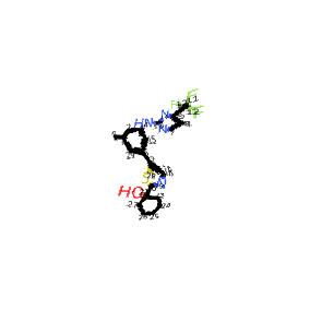 Cc1cc(Nc2nccc(C(F)(F)F)n2)cc(-c2cnc(C3(O)[CH]CCCC3)s2)c1